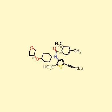 CC1=CC[C@H](C(=O)N(c2cc(C#CC(C)(C)C)sc2C(=O)O)[C@H]2CC[C@H](O[C@H]3CCOC3)CC2)[C@H](C)C1